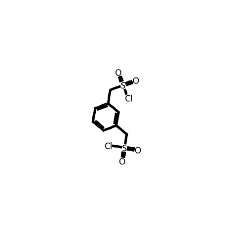 O=S(=O)(Cl)Cc1cccc(CS(=O)(=O)Cl)c1